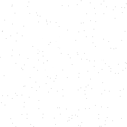 CO[C@@H](C)c1ncccc1-c1c(CC(C)(C)CO[Si](c2ccccc2)(c2ccccc2)C(C)(C)C)c2cc(B3OC(C)(C)C(C)(C)O3)ccc2n1CC(F)(F)F